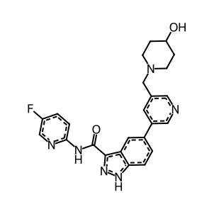 O=C(Nc1ccc(F)cn1)c1n[nH]c2ccc(-c3cncc(CN4CCC(O)CC4)c3)cc12